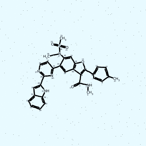 CNC(=O)c1c(-c2ccc(C)cc2)oc2cc(N(C)S(C)(=O)=O)c(-c3ccnc(-c4cc5ccccc5[nH]4)n3)cc12